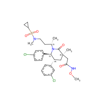 CONC(=O)C[C@@]1(C)C[C@H](c2cccc(Cl)c2)[C@@H](c2ccc(Cl)cc2)N([C@@H](C)CCN(C)S(=O)(=O)C2CC2)C1=O